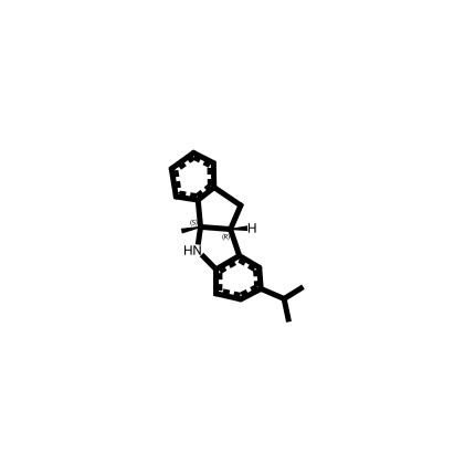 CC(C)c1ccc2c(c1)[C@H]1Cc3ccccc3[C@@]1(C)N2